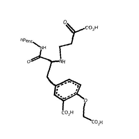 CCCCCNC(=O)C(Cc1ccc(OCC(=O)O)c(C(=O)O)c1)NCCC(=O)C(=O)O